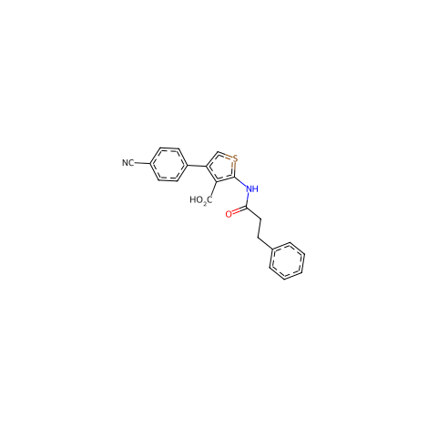 N#Cc1ccc(-c2csc(NC(=O)CCc3ccccc3)c2C(=O)O)cc1